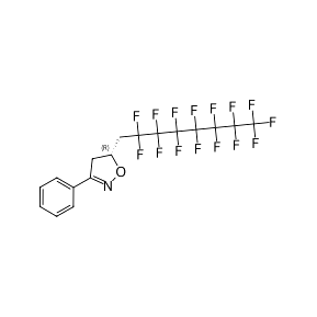 FC(F)(F)C(F)(F)C(F)(F)C(F)(F)C(F)(F)C(F)(F)C(F)(F)C[C@H]1CC(c2ccccc2)=NO1